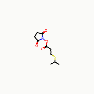 CC(C)SCCC(=O)ON1C(=O)CCC1=O